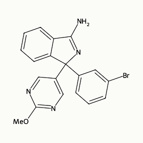 COc1ncc(C2(c3cccc(Br)c3)N=C(N)c3ccccc32)cn1